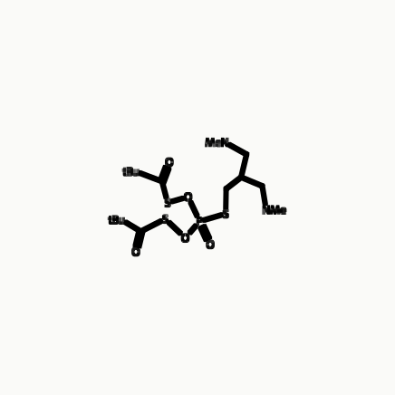 CNCC(CNC)CSP(=O)(OSC(=O)C(C)(C)C)OSC(=O)C(C)(C)C